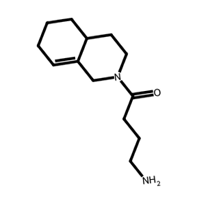 NCCCC(=O)N1CCC2CCCC=C2C1